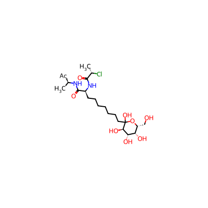 CC(=O)[C@H](C)NC(=O)[C@H](CCCCCCCC1(O)O[C@H](CO)[C@H](O)[C@H](O)[C@H]1O)NC(=O)[C@H](C)Cl